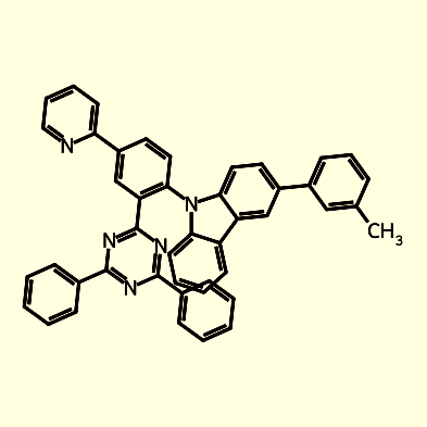 Cc1cccc(-c2ccc3c(c2)c2ccccc2n3-c2ccc(-c3ccccn3)cc2-c2nc(-c3ccccc3)nc(-c3ccccc3)n2)c1